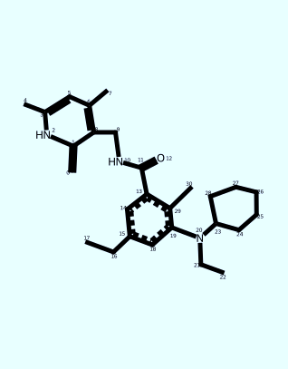 C=C1NC(C)=CC(C)=C1CNC(=O)c1cc(CC)cc(N(CC)C2CCCCC2)c1C